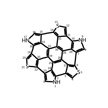 c1[nH]c2c3csc4c5c[nH]c6c7csc8c9c[nH]c%10c%11csc%12c1c2c1c(c34)c(c56)c(c78)c(c9%10)c1c%11%12